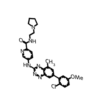 COc1ccc(Cl)c(-c2cc(C)c3nc(Nc4ccc(C(=O)NCCN5CCCC5)nc4)nnc3c2)c1